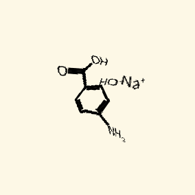 Nc1ccc(C(=O)O)cc1.[Na+].[OH-]